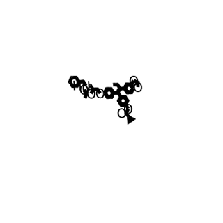 CCC(=C(c1ccc(OCC(CNCC2CCCCC2)OC(C)=O)cc1)c1ccc(OC(=O)C2CC2)cc1)c1ccc2c(c1)OCO2